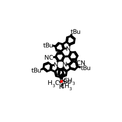 CC(C)(C)c1ccc2c(c1)c1cc(C(C)(C)C)ccc1n2-c1ccc(C#N)cc1-c1ccc(C#N)c(-n2c3ccc(C(C)(C)C)cc3c3cc([PH](C)(C)C)ccc32)c1-n1c2ccc(C(C)(C)C)cc2c2cc(C(C)(C)C)ccc21